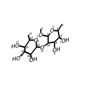 COC1OC(C)C(O)C(O)C1OC1OC(C)C(O)C(O)C1O